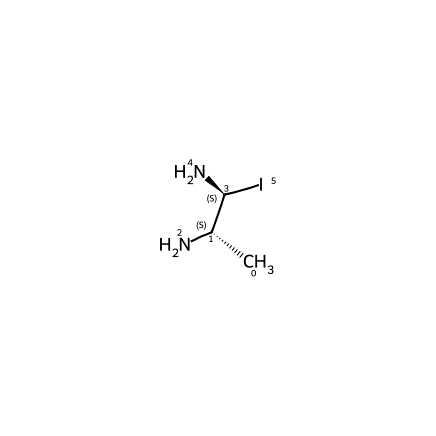 C[C@H](N)[C@@H](N)I